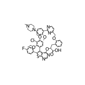 CCOc1c(-c2c(-c3ccc(F)cc3)sc3ncnc(OC(Cc4ccccc4OCc4ccnc(-c5ccccc5OC)n4)C(=O)O)c23)ccc(OCCN2CCN(C)CC2)c1Cl